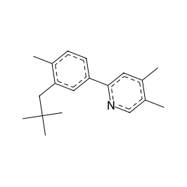 Cc1cnc(-c2ccc(C)c(CC(C)(C)C)c2)cc1C